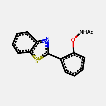 CC(=O)NOc1ccccc1-c1nc2ccccc2s1